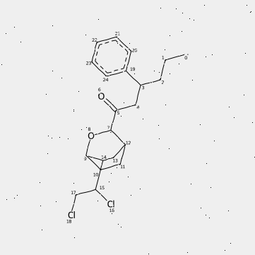 [CH2]CCC(CC(=O)[C]1OC2CCC1CC2C(Cl)CCl)c1ccccc1